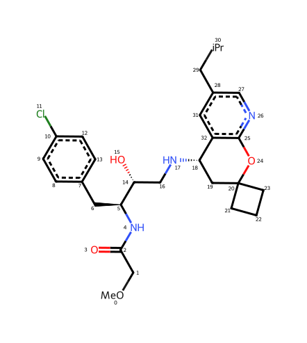 COCC(=O)N[C@@H](Cc1ccc(Cl)cc1)[C@H](O)CN[C@H]1CC2(CCC2)Oc2ncc(CC(C)C)cc21